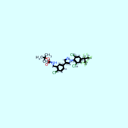 CC(C)(C)OC(=O)NCc1cc(-c2cnn(-c3c(Cl)cc(C(F)(C(F)(F)F)C(F)(F)F)cc3Cl)c2)ccc1Cl